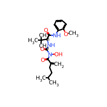 C=C(CCC(C)C)C(=O)N(O)C(=O)N[C@H](C(=O)Nc1ccccc1OC)C(C)(C)C